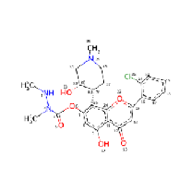 CNN(C)C(=O)Oc1cc(O)c2c(=O)cc(-c3ccccc3Cl)oc2c1[C@H]1CCN(C)C[C@H]1O